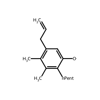 C=CCc1cc([O])c(CCCCC)c(C)c1C